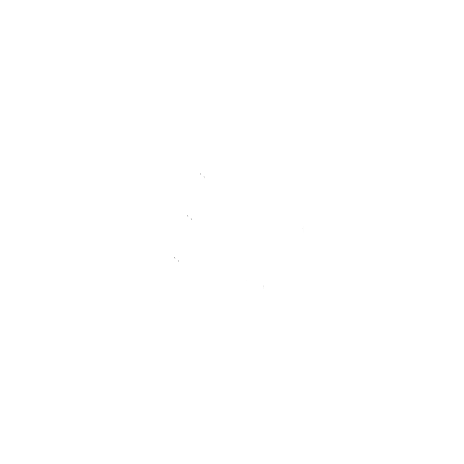 Cc1cc(Br)nc(Nc2cc(CCF)ccn2)c1